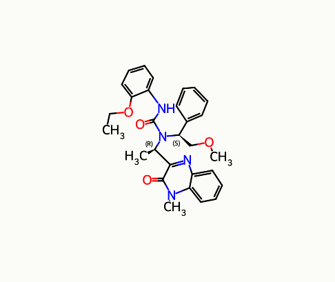 CCOc1ccccc1NC(=O)N([C@H](C)c1nc2ccccc2n(C)c1=O)[C@H](COC)c1ccccc1